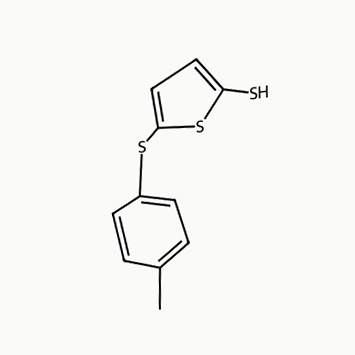 Cc1ccc(Sc2ccc(S)s2)cc1